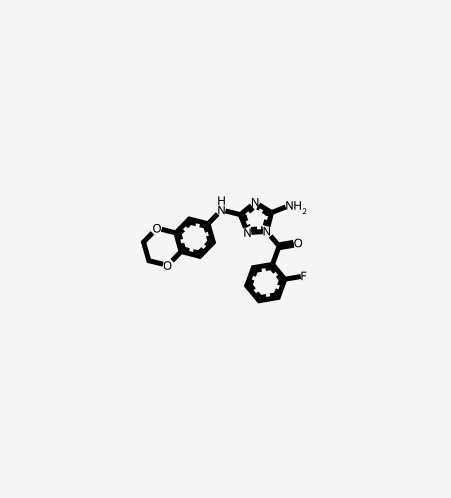 Nc1nc(Nc2ccc3c(c2)OCCO3)nn1C(=O)c1ccccc1F